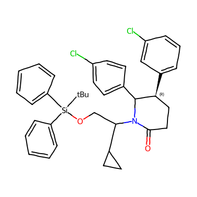 CC(C)(C)[Si](OCC(C1CC1)N1C(=O)CC[C@H](c2cccc(Cl)c2)C1c1ccc(Cl)cc1)(c1ccccc1)c1ccccc1